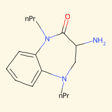 CCCN1CC(N)C(=O)N(CCC)c2ccccc21